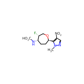 Cn1ncc([N+](=O)[O-])c1[C@H]1CC[C@H](NC(=O)O)[C@H](F)CO1